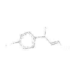 O/[C]=C/C(F)c1ccc(Cl)cc1